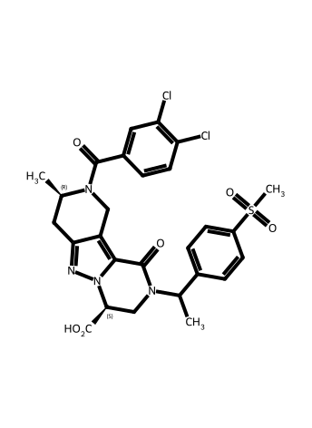 CC(c1ccc(S(C)(=O)=O)cc1)N1C[C@@H](C(=O)O)n2nc3c(c2C1=O)CN(C(=O)c1ccc(Cl)c(Cl)c1)[C@H](C)C3